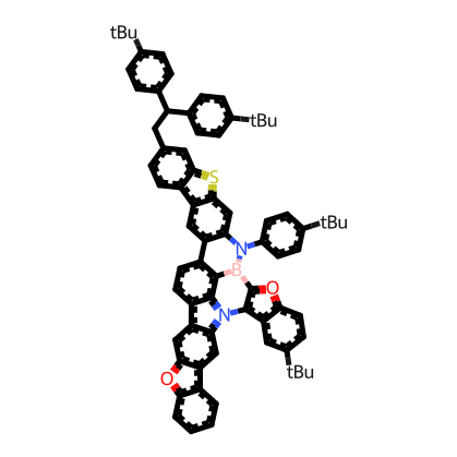 CC(C)(C)c1ccc(C(Cc2ccc3c(c2)sc2cc4c(cc23)-c2ccc3c5cc6oc7ccccc7c6cc5n5c3c2B(c2oc3ccc(C(C)(C)C)cc3c2-5)N4c2ccc(C(C)(C)C)cc2)c2ccc(C(C)(C)C)cc2)cc1